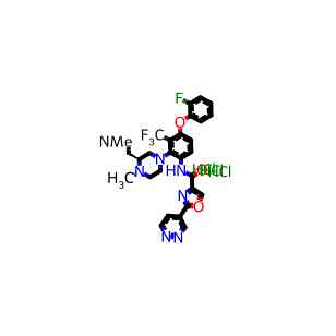 CNC[C@H]1CN(c2c(NC(=O)c3coc(-c4ccnnc4)n3)ccc(Oc3ccccc3F)c2C(F)(F)F)CCN1C.Cl.Cl.Cl